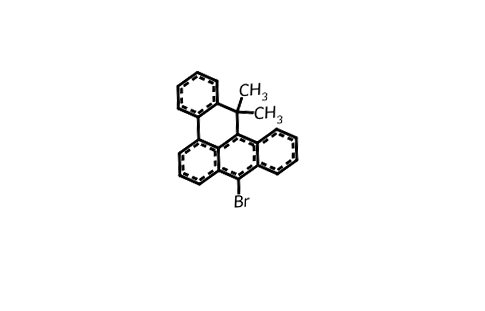 CC1(C)c2ccccc2-c2cccc3c(Br)c4ccccc4c1c23